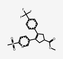 COC(=O)C1CC(c2ccc(C(F)(F)F)cc2)=C(c2ccc(S(C)(=O)=O)nc2)C1